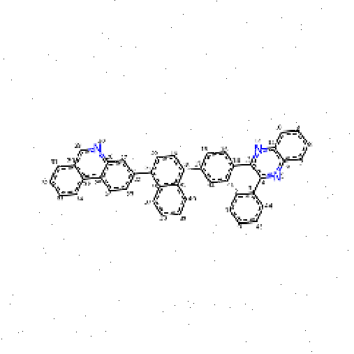 c1ccc(-c2nc3ccccc3nc2-c2ccc(-c3ccc(-c4ccc5c(c4)ncc4ccccc45)c4ccccc34)cc2)cc1